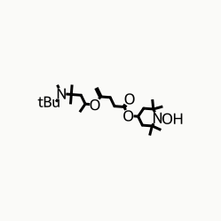 C=C(CCC(=O)OC1CC(C)(C)N(O)C(C)(C)C1)OC(C)CC(C)(C)N(C)C(C)(C)C